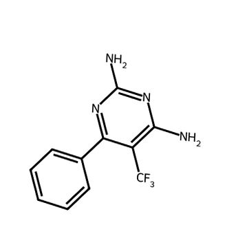 Nc1nc(N)c(C(F)(F)F)c(-c2ccccc2)n1